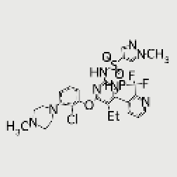 CCc1c(Oc2cccc(N3CCN(C)CC3)c2Cl)nc(NS(=O)(=O)c2cnn(C)c2)nc1-c1cccnc1C(F)(F)P